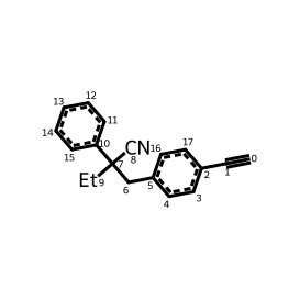 C#Cc1ccc(CC(C#N)(CC)c2ccccc2)cc1